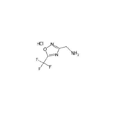 Cl.NCc1noc(C(F)(F)F)n1